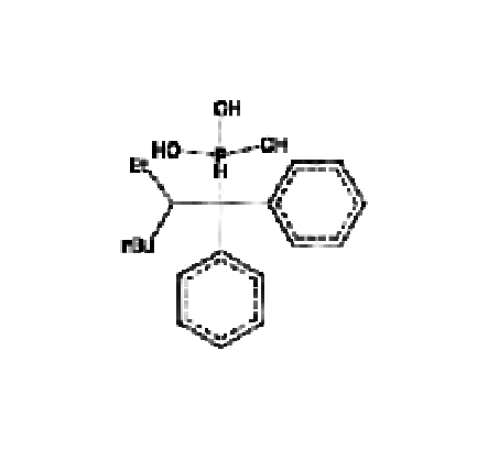 CCCCC(CC)C(c1ccccc1)(c1ccccc1)[PH](O)(O)O